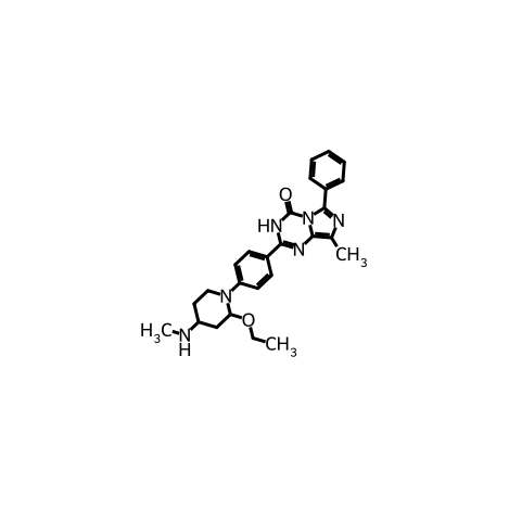 CCOC1CC(NC)CCN1c1ccc(-c2nc3c(C)nc(-c4ccccc4)n3c(=O)[nH]2)cc1